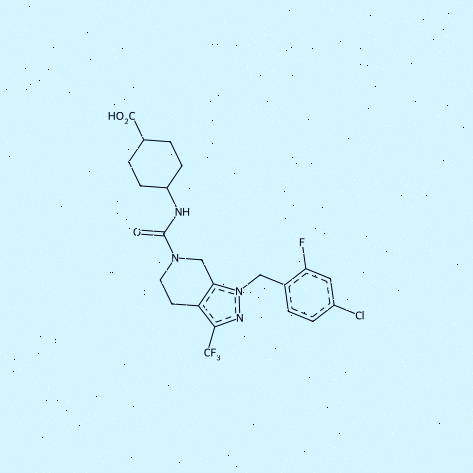 O=C(O)C1CCC(NC(=O)N2CCc3c(C(F)(F)F)nn(Cc4ccc(Cl)cc4F)c3C2)CC1